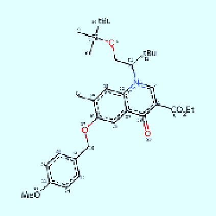 CCOC(=O)c1cn([C@H](CO[Si](C)(C)C(C)(C)C)C(C)(C)C)c2cc(C)c(OCc3ccc(OC)cc3)cc2c1=O